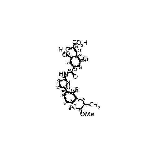 COC(C(C)C)C(C)Cc1cccc(-c2csc(NC(=O)c3cc(Cl)c(C=C(C)C(=O)O)c(Cl)c3)n2)c1F